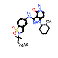 COCC(C)(C)N1Cc2cc(Nc3nn([C@H]4CCCC[C@@H]4C#N)c4cc[nH]c(=O)c34)ccc2S1(=O)=O